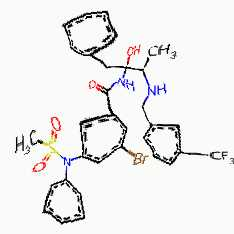 C[C@@H](NCc1cccc(C(F)(F)F)c1)[C@@](O)(Cc1ccccc1)NC(=O)c1cc(Br)cc(N(c2ccccc2)S(C)(=O)=O)c1